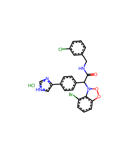 Cl.O=C(NCc1cccc(Cl)c1)C(c1ccc(-c2c[nH]cn2)cc1)N1OOc2cccc(Br)c21